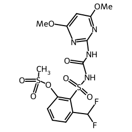 COc1cc(OC)nc(NC(=O)NS(=O)(=O)c2c(OS(C)(=O)=O)cccc2C(F)F)n1